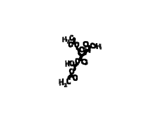 C=CC(=O)OCC(O)COC(=O)C(CCCC(=O)O)CC(O)COC(=O)C=C